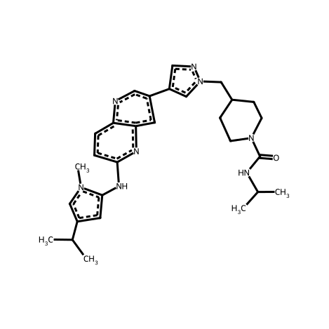 CC(C)NC(=O)N1CCC(Cn2cc(-c3cnc4ccc(Nc5cc(C(C)C)cn5C)nc4c3)cn2)CC1